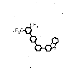 FC(F)(F)c1cc(-c2ccc(-c3cccc(-c4ccc5sc6ccccc6c5c4)c3)cc2)cc(C(F)(F)F)c1